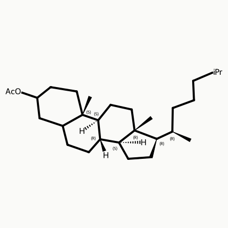 CC(=O)OC1CC[C@@]2(C)C(CC[C@H]3[C@@H]4CC[C@H]([C@H](C)CCCC(C)C)[C@@]4(C)CC[C@@H]32)C1